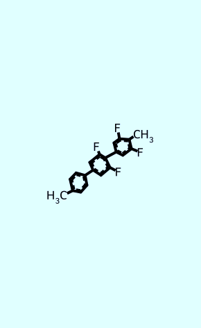 Cc1ccc(-c2cc(F)c(-c3cc(F)c(C)c(F)c3)c(F)c2)cc1